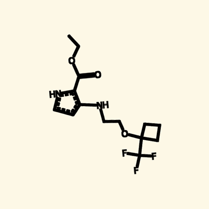 CCOC(=O)c1[nH]ccc1NCCOC1(C(F)(F)F)CCC1